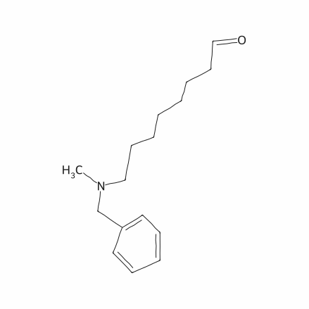 CN(CCCCCCCC=O)Cc1ccccc1